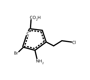 Nc1c(Br)cc(C(=O)O)cc1CCCl